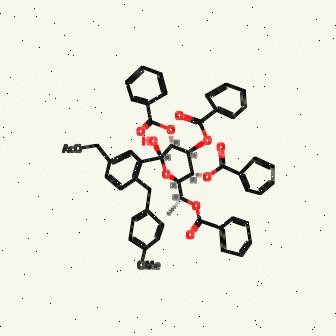 COc1ccc(Cc2ccc(COC(C)=O)cc2[C@@]2(O)O[C@H]([C@@H](C)OC(=O)c3ccccc3)[C@@H](OC(=O)c3ccccc3)[C@H](OC(=O)c3ccccc3)[C@H]2OC(=O)c2ccccc2)cc1